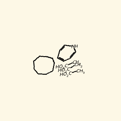 C1=CC=CNC=C1.C1CCCCCCCC1.CC(=O)O.CC(=O)O.CC(=O)O